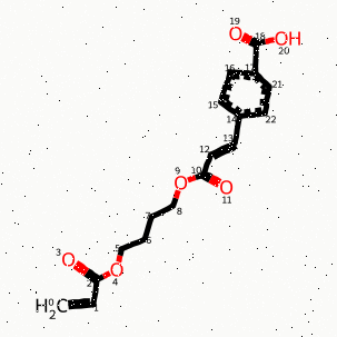 C=CC(=O)OCCCCOC(=O)/C=C/c1ccc(C(=O)O)cc1